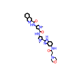 Cn1cc(NC(=O)c2cc3ccccc3cn2)cc1C(=O)Nc1cc(-c2nc3cc(NC(=O)CCN4CCOCC4)ccc3[nH]2)n(C)c1